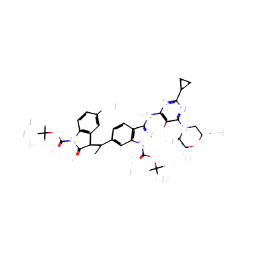 COc1c(Nc2nn(C(=O)OC(C)(C)C)c3cc(C4C[C@@]45C(=O)N(C(=O)OC(C)(C)C)c4ccc(C)cc45)ccc23)nc(C2CC2)nc1N1C[C@@H](C)O[C@@H](C)C1